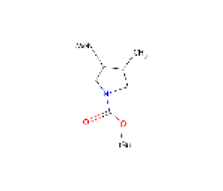 CNC1CN(C(=O)OC(C)(C)C)CC1C